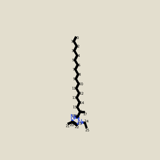 CCCCCCCCCCCCCCCCC(C)c1nc(C)cn1CC